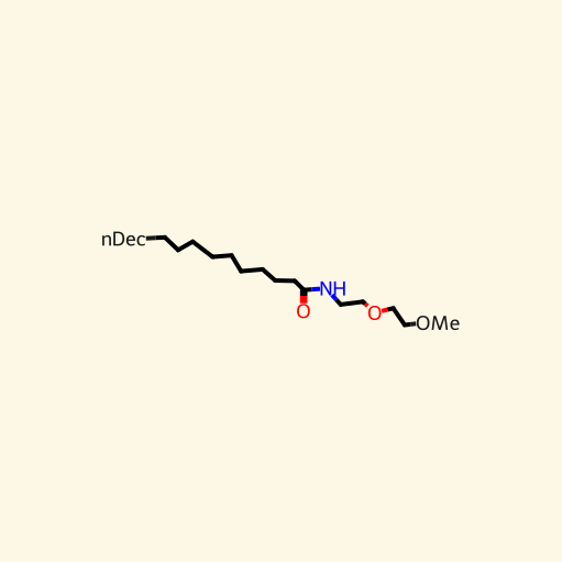 CCCCCCCCCCCCCCCCCCCC(=O)NCCOCCOC